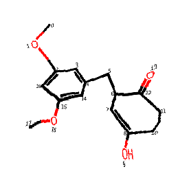 COc1cc(CC2C=C(O)CCC2=O)cc(OC)c1